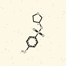 Cc1ccc(S(=O)(=O)O[C@H]2CCOC2)cc1